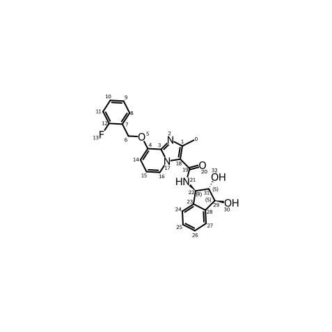 Cc1nc2c(OCc3ccccc3F)cccn2c1C(=O)N[C@@H]1c2ccccc2[C@H](O)[C@H]1O